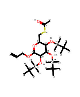 C=CCOC1OC(CSC(C)=O)C(O[Si](C)(C)C(C)(C)C)C(O[Si](C)(C)C(C)(C)C)C1O[Si](C)(C)C(C)(C)C